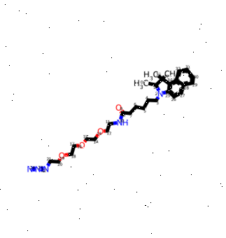 CC1N(CCCCCC(=O)NCCOCCOCCOCCN=[N+]=[N-])c2ccc3ccccc3c2C1(C)C